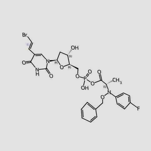 C[C@@H](C(=O)OP(=O)(O)OC[C@H]1O[C@@H](n2cc(/C=C/Br)c(=O)[nH]c2=O)C[C@@H]1O)N(OCc1ccccc1)c1ccc(F)cc1